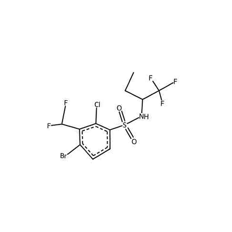 CCC(NS(=O)(=O)c1ccc(Br)c(C(F)F)c1Cl)C(F)(F)F